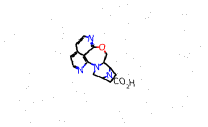 O=C(O)N1C2CCC1C1COc3nccc4ccnc(c34)N1C2